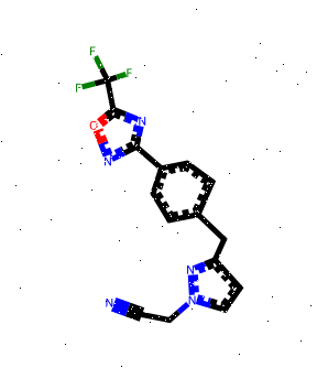 N#CCn1ccc(Cc2ccc(-c3noc(C(F)(F)F)n3)cc2)n1